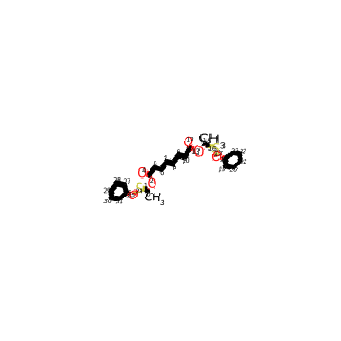 CC(OC(=O)CCCCCCC(=O)OC(C)SOC1CCCCC1)SOC1CCCCC1